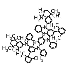 Cc1cccc(C)c1-c1cc2c3c(c1)N(c1ccccc1)c1cc4c(cc1B3c1ccccc1N2c1ccc2c(c1)C(C)(C)CCC2(C)C)B1c2ccccc2N(c2ccc3c(c2)C(C)(N)CCC3(C)C)c2cc(-c3c(C)cccc3C)cc(c21)N4c1ccccc1